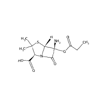 CCC(=O)O[C@]1(N)C(=O)N2[C@@H](C(=O)O)C(C)(C)S[C@@H]21